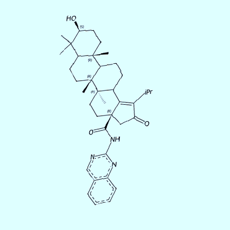 CC(C)C1=C2C3CCC4[C@@]5(C)CC[C@H](O)C(C)(C)C5CC[C@@]4(C)[C@]3(C)CC[C@@]2(C(=O)Nc2ncc3ccccc3n2)CC1=O